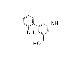 Nc1cc(CO)cc(-c2ccccc2N)c1